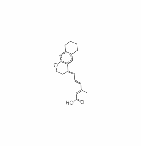 CC(C=CC=C1CCOc2cc3c(cc21)CCCC3)=CC(=O)O